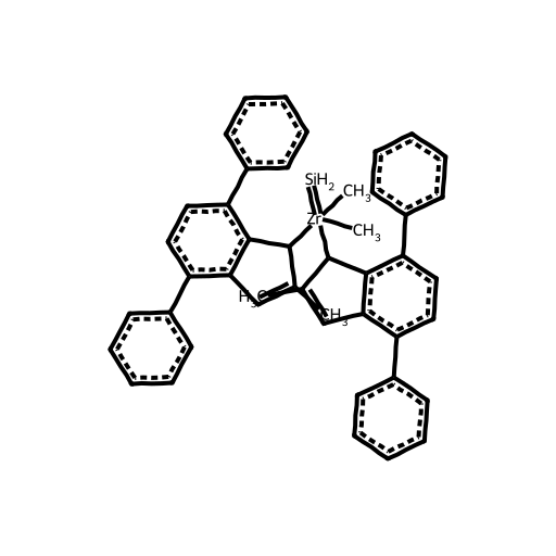 CC1=Cc2c(-c3ccccc3)ccc(-c3ccccc3)c2[CH]1[Zr]([CH3])([CH3])(=[SiH2])[CH]1C(C)=Cc2c(-c3ccccc3)ccc(-c3ccccc3)c21